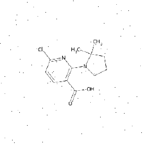 CC1(C)CCCN1c1nc(Cl)ccc1C(=O)O